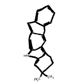 CC1(C)C=c2[nH]c3cc4c(cc3c2CC1)-c1ccccc1C=4